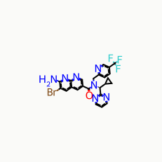 Nc1nc2ncc(C(=O)N(Cc3ccc(C(F)(F)F)cn3)[C@@H](c3ncccn3)C3CC3)cc2cc1Br